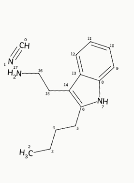 C#N.CCCCc1[nH]c2ccccc2c1CCN